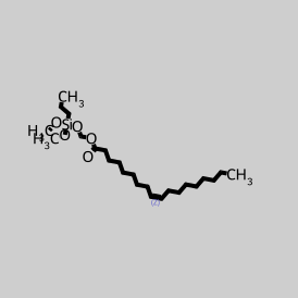 CCCCCCCC/C=C\CCCCCCCC(=O)OCO[Si](CCC)(OC)OC